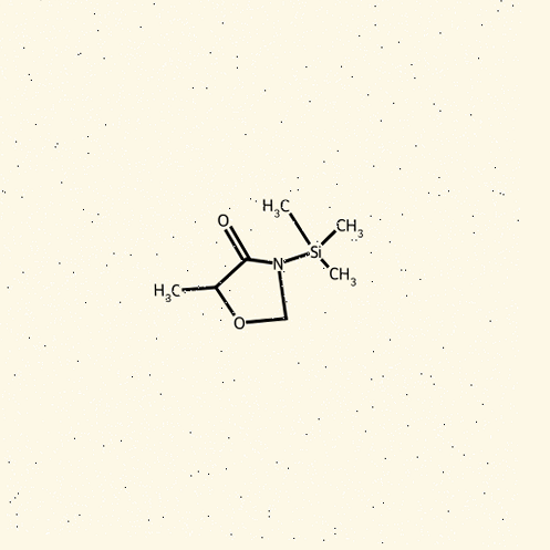 CC1OCN([Si](C)(C)C)C1=O